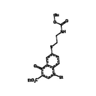 CCOC(=O)c1cn(CC)c2ccc(SCCNC(=O)OC(C)(C)C)cc2c1=O